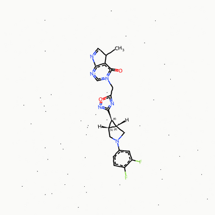 CC1C=Nc2ncn(Cc3nc([C@H]4[C@@H]5CN(c6ccc(F)c(F)c6)C[C@@H]54)no3)c(=O)c21